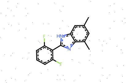 Cc1cc(C)c2nc(-c3c(F)cccc3F)[nH]c2c1